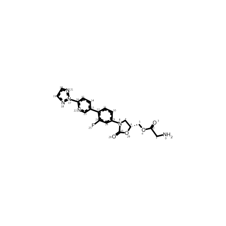 NCC(=O)OC[C@H]1CN(c2ccc(-c3ccc(-n4nccn4)nc3)c(F)c2)C(=O)O1